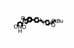 CC(C)(C)OC(=O)N1CCN(CCN2CCC(c3ccc4c(c3)CN(C3CCC(=O)NC3=O)C4=O)CC2)CC1